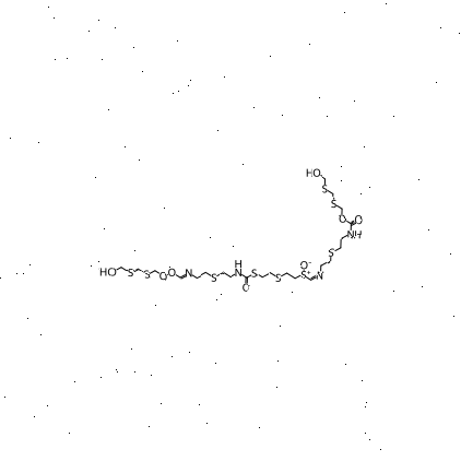 O=C(NCCSCC/N=C\[S+]([O-])CCSCCSC(=O)NCCSCC/N=C/OOCSCSCO)OCSCSCO